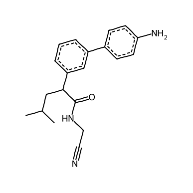 CC(C)CC(C(=O)NCC#N)c1cccc(-c2ccc(N)cc2)c1